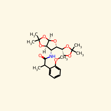 COc1ccccc1C(C)C(=O)N[C@@H]1[C@H]2OC(C)(C)O[C@H]2O[C@@H]1[C@H]1COC(C)(C)O1